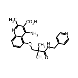 Cc1nc2cccc(OCC(C)(C)C(=O)NCc3ccncc3)c2c(N)c1C(=O)O